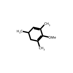 COC1=C(C)CC(C)C=C1C